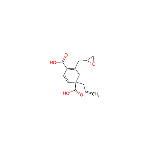 C=CCC1(C(=O)O)C=CC(C(=O)O)=C(CC2CO2)C1